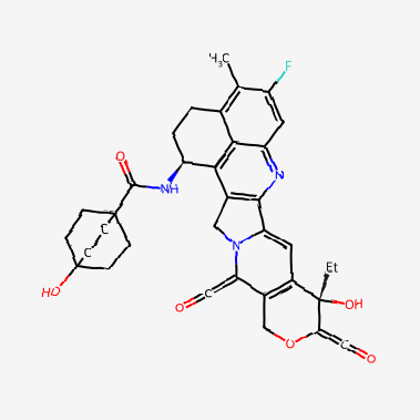 CC[C@@]1(O)C(=C=O)OCC2=C1C=C1c3nc4cc(F)c(C)c5c4c(c3CN1C2=C=O)[C@@H](NC(=O)C12CCC(O)(CC1)CC2)CC5